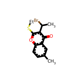 CCSc1oc2ccc(C)cc2c(=O)c1C(C)Br